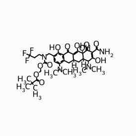 CN(C)c1cc(CN(CCC(F)(F)F)C(=O)OCOC(=O)C(C)(C)C)c(O)c2c1C[C@H]1C[C@H]3[C@H](N(C)C)C(O)=C(C(N)=O)C(=O)[C@@]3(O)C(O)=C1C2=O